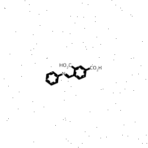 O=C(O)c1ccc(/C=N/c2ccccc2)c(C(=O)O)c1